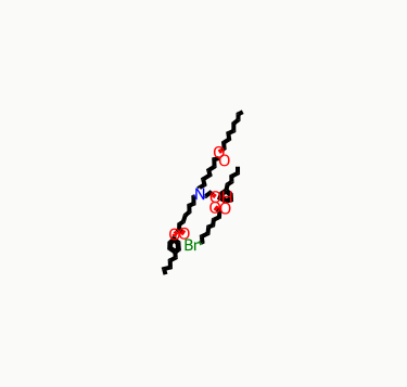 CCCCCCCCCOC(=O)CCCCCCCN(CCO)CCCCCCCC(=O)Oc1ccc(CCCCC)cc1.CCCCCc1ccc(OC(=O)CCCCCCCBr)cc1